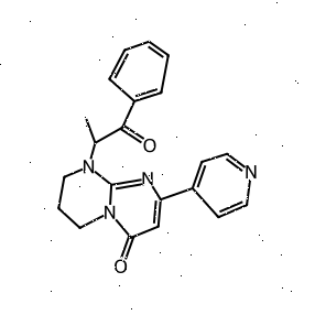 CC(C(=O)c1ccccc1)N1CCCn2c1nc(-c1ccncc1)cc2=O